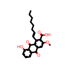 CCCCCCC=Cc1c(C(=O)O)c(OC)cc2c1C(=O)c1c(O)cccc1C2=O